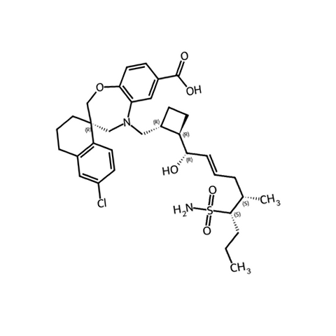 CCC[C@@H]([C@@H](C)CC=C[C@H](O)[C@@H]1CC[C@H]1CN1C[C@]2(CCCc3cc(Cl)ccc32)COc2ccc(C(=O)O)cc21)S(N)(=O)=O